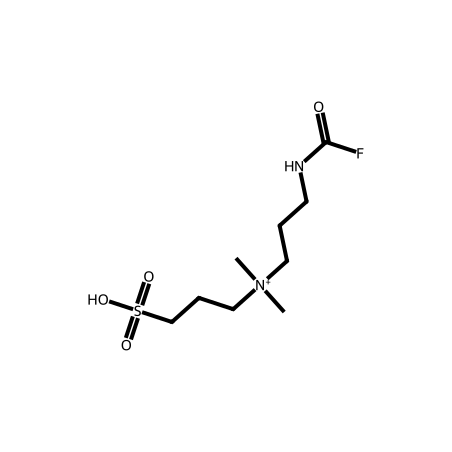 C[N+](C)(CCCNC(=O)F)CCCS(=O)(=O)O